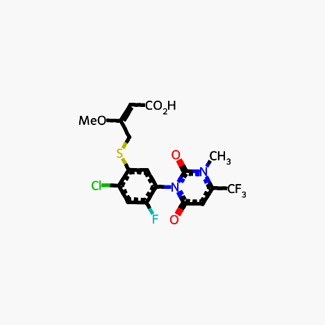 CO/C(=C/C(=O)O)CSc1cc(-n2c(=O)cc(C(F)(F)F)n(C)c2=O)c(F)cc1Cl